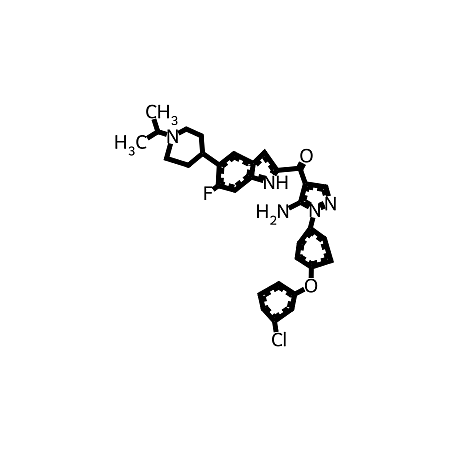 CC(C)N1CCC(c2cc3cc(C(=O)c4cnn(-c5ccc(Oc6cccc(Cl)c6)cc5)c4N)[nH]c3cc2F)CC1